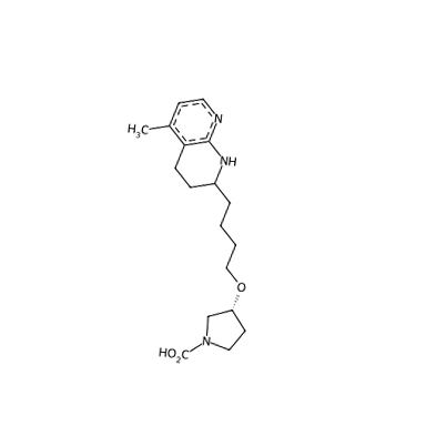 Cc1ccnc2c1CCC(CCCCO[C@@H]1CCN(C(=O)O)C1)N2